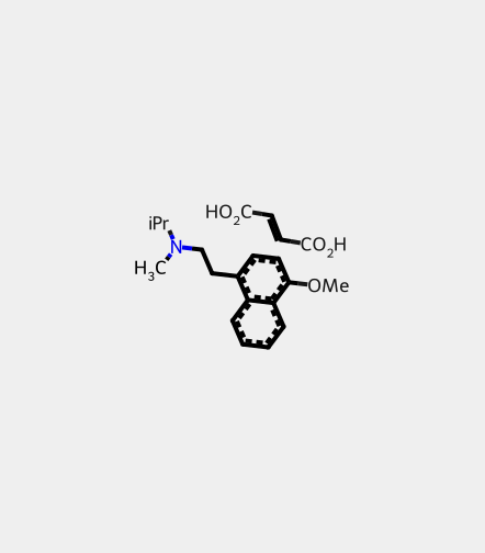 COc1ccc(CCN(C)C(C)C)c2ccccc12.O=C(O)/C=C/C(=O)O